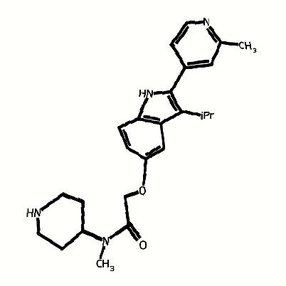 Cc1cc(-c2[nH]c3ccc(OCC(=O)N(C)C4CCNCC4)cc3c2C(C)C)ccn1